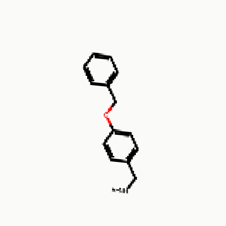 CC(=O)NCc1ccc(OCc2ccccc2)cc1